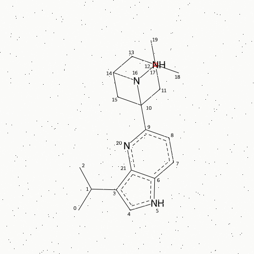 CC(C)c1c[nH]c2ccc(C34CNCC(C3)N4C(C)C)nc12